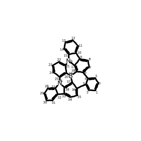 c1ccc2c(c1)-c1ccc3c4ccccc4n4c3c1B1c3c-4cccc3-n3c4ccccc4c4ccc-2c1c43